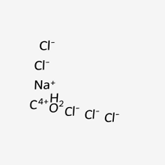 O.[C+4].[Cl-].[Cl-].[Cl-].[Cl-].[Cl-].[Na+]